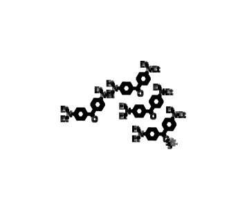 CCN(CC)c1ccc(C(=O)c2ccc(N(CC)CC)cc2)cc1.CCN(CC)c1ccc(C(=O)c2ccc(N(CC)CC)cc2)cc1.CCN(CC)c1ccc(C(=O)c2ccc(N(CC)CC)cc2)cc1.CCN(CC)c1ccc(C(=O)c2ccc(N(CC)CC)cc2)cc1.[S-2].[S-2]